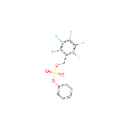 O=S(=O)(OCc1c(F)c(F)c(F)c(F)c1F)Oc1ccccc1